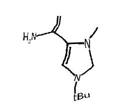 C=C(N)C1=CN(C(C)(C)C)CN1C